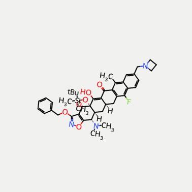 Cc1c2c(c(F)c3ccc(CN4CCC4)cc13)C[C@H]1C[C@H]3[C@H](N(C)C)c4onc(OCc5ccccc5)c4C(=O)[C@@]3(O[Si](C)(C)C(C)(C)C)C(O)=C1C2=O